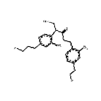 Cc1cc(CCC(C)C)ccc1CCC(=O)C(CC=O)c1ccc(CCCC(C)C)cc1C